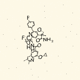 Cc1cc2cc(C(=O)NC[C@](O)(c3cc4c(c(-c5ccc(F)cc5)n3)OC[C@]4(C)C(N)=O)C(F)(F)F)cc(OC3CC3)c2nc1C